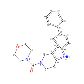 O=C(N1CCOCC1)N1CCc2[nH]c3ccc(-c4ccccc4)cc3c2C1